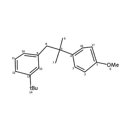 COc1ccc(C(C)(C)Cc2cccc(C(C)(C)C)c2)cc1